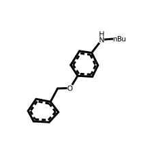 CCCCNc1ccc(OCc2ccccc2)cc1